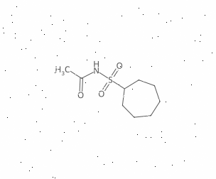 CC(=O)NS(=O)(=O)C1CCCCCC1